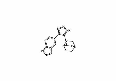 c1cc2cc(-c3nn[nH]c3C3CN4CCC3CC4)ccc2[nH]1